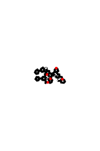 CC(C)c1cc(-c2ccccc2)cc(C(C)C)c1-n1c2ccccc2[n+]2c3c(c4cc5oc6ccc(-c7ccccc7)cc6c5cc4c12)C1c2ccccc2-c2cc(CC4CCCCC4)c([Si](C)(C)C)c[n+]2C31